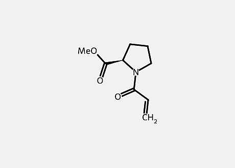 C=CC(=O)N1CCC[C@@H]1C(=O)OC